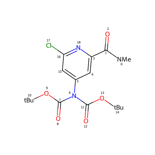 CNC(=O)c1cc(N(C(=O)OC(C)(C)C)C(=O)OC(C)(C)C)cc(Cl)n1